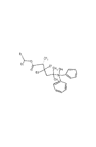 CCC(CC)OC(=O)[C@H](C)C(CC)(CC)CC(C)(C)[Si](O)(c1ccccc1)c1ccccc1